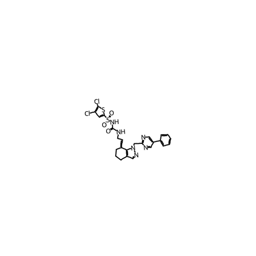 O=C(NC/C=C1\CCCc2cnn(Cc3ncc(-c4ccccc4)cn3)c21)NS(=O)(=O)c1cc(Cl)c(Cl)s1